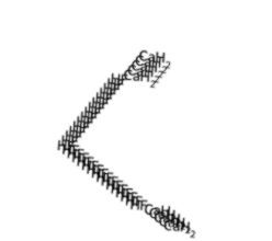 F.F.F.F.F.F.F.F.F.F.F.F.F.F.F.F.F.F.F.F.F.F.F.F.F.F.F.F.F.F.[CaH2].[CaH2].[CaH2].[CaH2].[CaH2].[CaH2].[CaH2].[CaH2].[CaH2].[CaH2]